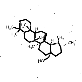 C[C@H]1[C@H](C)CC[C@]2(CO)CC[C@]3(C)C(=CC[C@@H]4[C@@]5(C)CCCC(C)(C)C5CC[C@]43C)[C@H]12